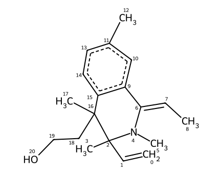 C=CC1(C)N(C)/C(=C\C)c2cc(C)ccc2C1(C)CCO